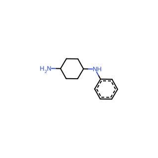 NC1CCC(Nc2ccccc2)CC1